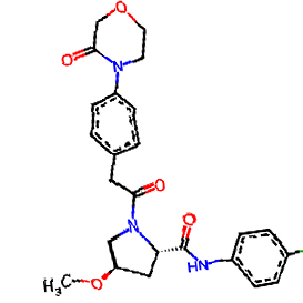 CO[C@@H]1C[C@@H](C(=O)Nc2ccc(Cl)cc2)N(C(=O)Cc2ccc(N3CCOCC3=O)cc2)C1